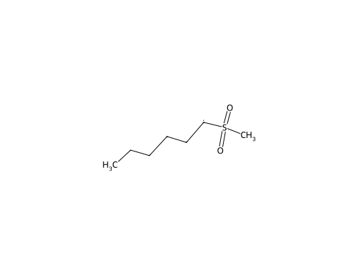 CCCCC[CH]S(C)(=O)=O